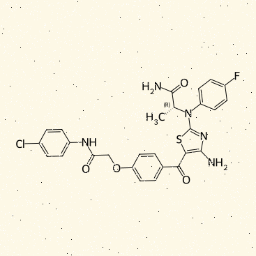 C[C@H](C(N)=O)N(c1ccc(F)cc1)c1nc(N)c(C(=O)c2ccc(OCC(=O)Nc3ccc(Cl)cc3)cc2)s1